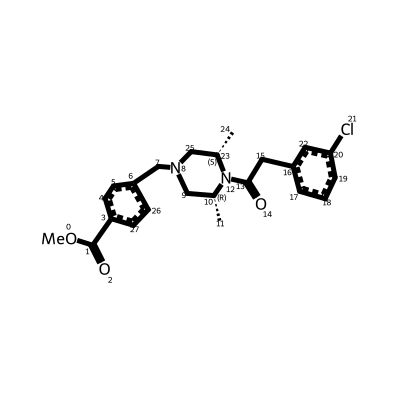 COC(=O)c1ccc(CN2C[C@@H](C)N(C(=O)Cc3cccc(Cl)c3)[C@@H](C)C2)cc1